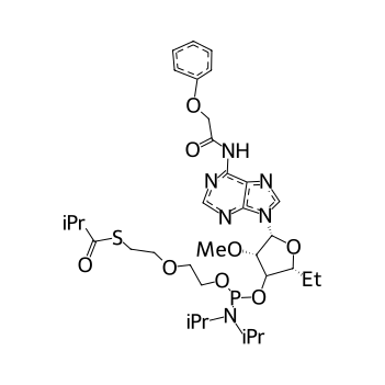 CC[C@H]1O[C@@H](n2cnc3c(NC(=O)COc4ccccc4)ncnc32)[C@@H](OC)C1OP(OCCOCCSC(=O)C(C)C)N(C(C)C)C(C)C